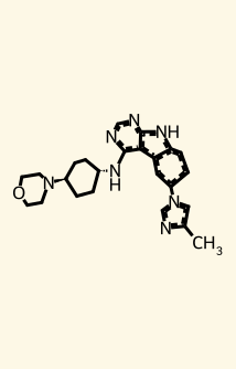 Cc1cn(-c2ccc3[nH]c4ncnc(N[C@H]5CC[C@H](N6CCOCC6)CC5)c4c3c2)cn1